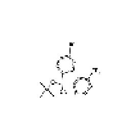 C[Si](C)(C)OC(C#N)(c1ccc(Br)cc1)c1cccc(C(F)(F)F)c1